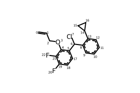 C=CCOc1c(C(Cl)c2ccccc2C2CC2)ccc(F)c1F